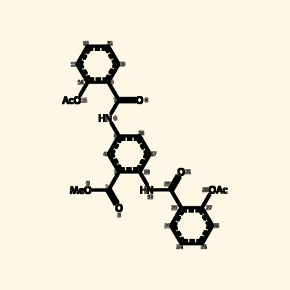 COC(=O)c1cc(NC(=O)c2ccccc2OC(C)=O)ccc1NC(=O)c1ccccc1OC(C)=O